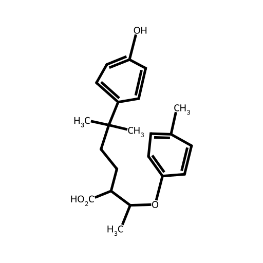 Cc1ccc(OC(C)C(CCC(C)(C)c2ccc(O)cc2)C(=O)O)cc1